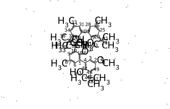 COc1cc(-c2cc(C)cc(C(C)(C)C)c2Op2oc3c(C(C)(C)C)cc(C)cc3c3cc(C)cc(C(C)(C)C)c3o2)c(O)c(C(C)(C)C)c1